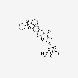 CC(C)(C)OC(=O)N1CCN(C(=O)c2cc3ccc(OP(=O)(c4ccccc4)c4ccccc4)cc3oc2=O)CC1